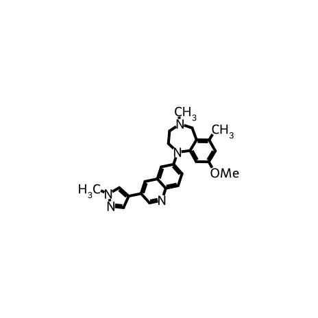 COc1cc(C)c2c(c1)N(c1ccc3ncc(-c4cnn(C)c4)cc3c1)CCN(C)C2